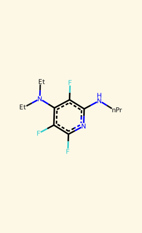 CCCNc1nc(F)c(F)c(N(CC)CC)c1F